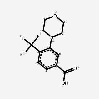 O=C(O)c1ccc(C(F)(F)F)c(N2CCOCC2)c1